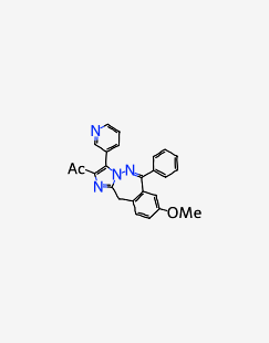 COc1ccc2c(c1)C(c1ccccc1)=Nn1c(nc(C(C)=O)c1-c1cccnc1)C2